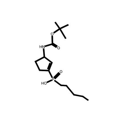 CCCCCP(=O)(O)C1=CC(NC(=O)OC(C)(C)C)CC1